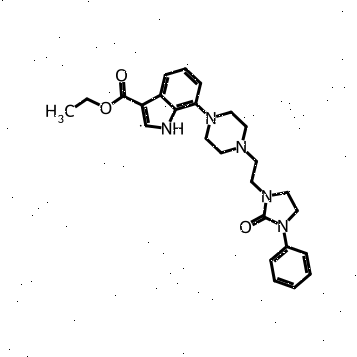 CCOC(=O)c1[c][nH]c2c(N3CCN(CCN4CCN(c5ccccc5)C4=O)CC3)cccc12